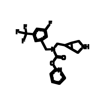 O=C(Oc1ccccn1)N(Cc1cc(F)cc(C(F)(F)F)c1)CC1C2CNCC21